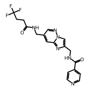 O=C(CCC(F)(F)F)NCc1cnn2cc(CNC(=O)c3ccncc3)nc2c1